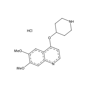 COc1cc2nccc(OC3CCNCC3)c2cc1OC.Cl